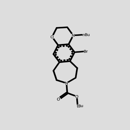 CCCCN1CCOc2cc3c(c(Br)c21)CCN(C(=O)OC(C)(C)C)CC3